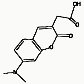 CN(C)c1ccc2cc(CC(=O)O)c(=O)oc2c1